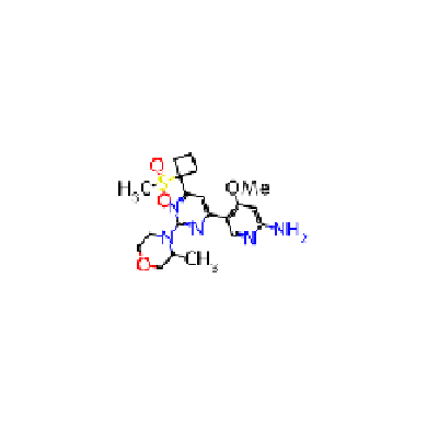 COc1cc(N)ncc1-c1cc(C2(S(C)(=O)=O)CCC2)nc(N2CCOC[C@@H]2C)n1